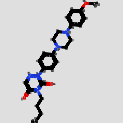 CCCCn1c(=O)cnn(-c2ccc(N3CCN(c4ccc(OC)cc4)CC3)cc2)c1=O